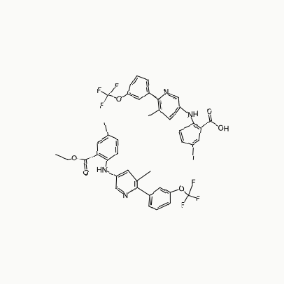 CCOC(=O)c1cc(C)ccc1Nc1cnc(-c2cccc(OC(F)(F)F)c2)c(C)c1.Cc1ccc(Nc2cnc(-c3cccc(OC(F)(F)F)c3)c(C)c2)c(C(=O)O)c1